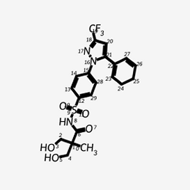 CC(CO)(CO)C(=O)NS(=O)(=O)c1ccc(-n2nc(C(F)(F)F)cc2C2=CCCC=C2)cc1